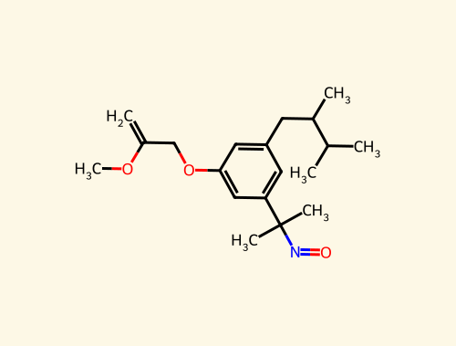 C=C(COc1cc(CC(C)C(C)C)cc(C(C)(C)N=O)c1)OC